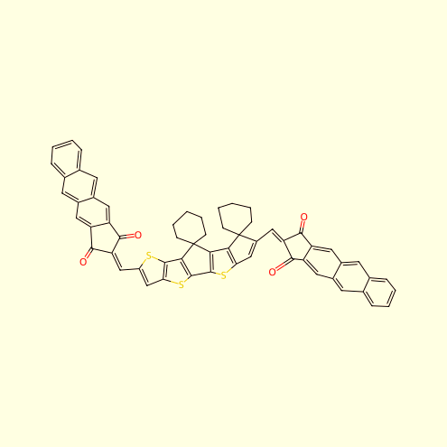 O=C1C(=CC2=Cc3sc4c(c3C23CCCCC3)C2(CCCCC2)c2c-4sc3cc(C=C4C(=O)c5cc6cc7ccccc7cc6cc5C4=O)sc23)C(=O)c2cc3cc4ccccc4cc3cc21